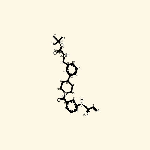 C=CC(=O)Nc1cccc(C(=O)N2CCC(c3cccc(CNC(=O)OC(C)(C)C)c3)CC2)c1